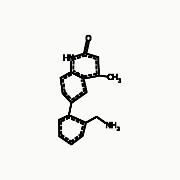 Cc1cc(=O)[nH]c2ccc(-c3ccccc3CN)cc12